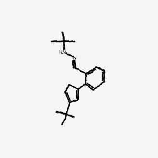 CC(C)(C)N/N=C/c1ccccc1C1=CC(C(C)(C)C)=CC1